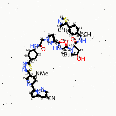 CNc1cc(-c2ccc3cc(C#N)cnn23)ncc1-c1nnc(C2CCC(NC(=O)Cn3ccc(C(=O)N[C@H](C(=O)N4C[C@H](O)C[C@H]4C(=O)N[C@@H](C)c4ccc(-c5scnc5C)cc4)C(C)(C)C)n3)CC2)s1